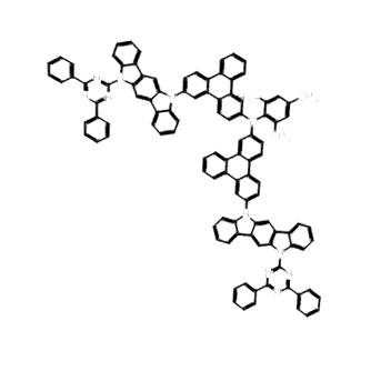 Cc1cc(C)c(B(c2ccc3c4ccc(-n5c6ccccc6c6cc7c(cc65)c5ccccc5n7-c5nc(-c6ccccc6)nc(-c6ccccc6)n5)cc4c4ccccc4c3c2)c2ccc3c(c2)c2ccccc2c2ccc(-n4c5ccccc5c5cc6c(cc54)c4ccccc4n6-c4nc(-c5ccccc5)nc(-c5ccccc5)n4)cc23)c(C)c1